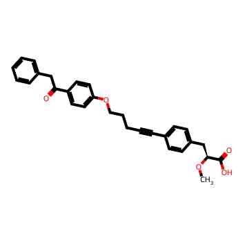 CO[C@@H](Cc1ccc(C#CCCCOc2ccc(C(=O)Cc3ccccc3)cc2)cc1)C(=O)O